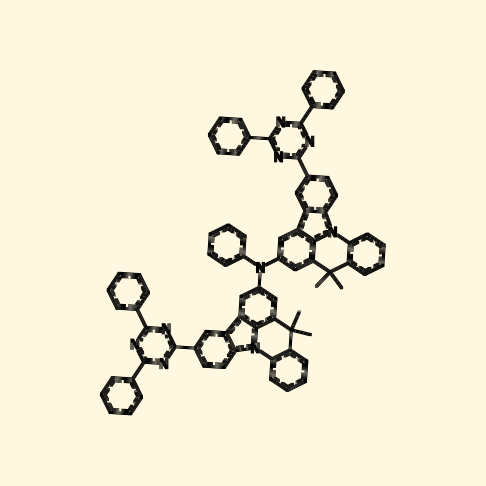 CC1(C)c2ccccc2-n2c3ccc(-c4nc(-c5ccccc5)nc(-c5ccccc5)n4)cc3c3cc(N(c4ccccc4)c4cc5c6c(c4)c4cc(-c7nc(-c8ccccc8)nc(-c8ccccc8)n7)ccc4n6-c4ccccc4C5(C)C)cc1c32